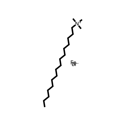 CCCCCCCCCCCCCCCC[N+](C)(C)C.[Br-].[Fe]